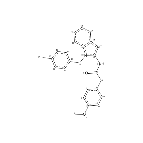 COc1ccc(CC(=O)Nc2nc3ccccc3n2Cc2ccc(I)cc2)cc1